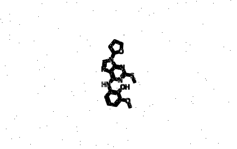 COc1cccc(Nc2nc(SC)nc3c2ncn3C2CCCO2)c1O